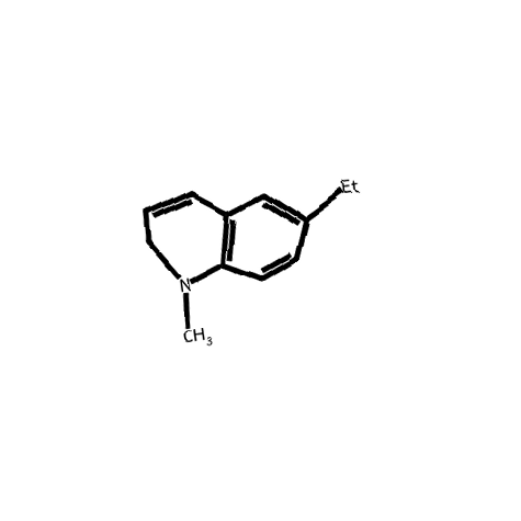 CCc1ccc2c(c1)C=CCN2C